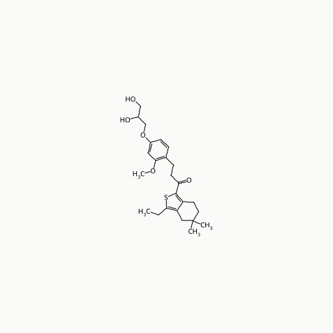 CCc1sc(C(=O)CCc2ccc(OCC(O)CO)cc2OC)c2c1CC(C)(C)CC2